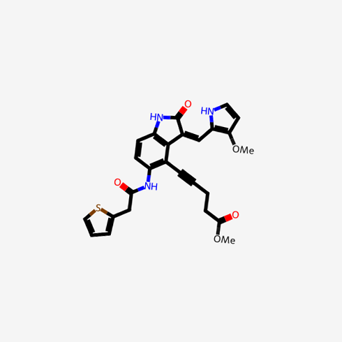 COC(=O)CCC#Cc1c(NC(=O)Cc2cccs2)ccc2c1C(=Cc1[nH]ccc1OC)C(=O)N2